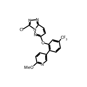 COc1ccc(-c2ccc(C(F)(F)F)cc2Oc2ccc3nnc(Cl)n3n2)cn1